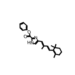 CC1=C(C=C/C(C)=C/c2c[nH]c(C(=O)Oc3ccccc3)n2)C(C)(C)CCC1